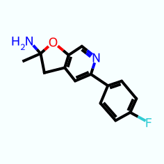 CC1(N)Cc2cc(-c3ccc(F)cc3)ncc2O1